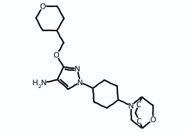 Nc1cn(C2CCC(N3CC4CCCC3CO4)CC2)nc1OCC1CCOCC1